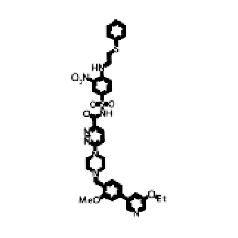 CCOc1cncc(-c2ccc(CN3CCN(c4ccc(C(=O)NS(=O)(=O)c5ccc(NCCSc6ccccc6)c([N+](=O)[O-])c5)nn4)CC3)c(OC)c2)c1